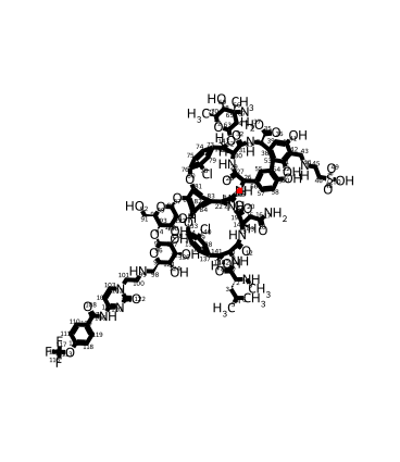 CN[C@H](CC(C)C)C(=O)NC1C(=O)N[C@@H](CC(N)=O)C(=O)N[C@H]2C(=O)N[C@H]3C(=O)N[C@H](C(=O)N[C@@H](C(=O)O)c4cc(O)c(CNCCS(=O)(=O)O)c(O)c4-c4cc3ccc4O)[C@H](OC3C[C@](C)(N)[C@@H](O)[C@H](C)O3)c3ccc(c(Cl)c3)Oc3cc2cc(c3O[C@@H]2O[C@H](CO)[C@@H](O[C@@H]3O[C@H](CNCCn4ccc(NC(=O)c5ccc(OC(F)(F)F)cc5)nc4=O)[C@H](O)[C@H](O)[C@H]3O)[C@H](O)[C@H]2O)Oc2ccc(cc2Cl)[C@H]1O